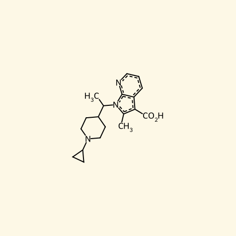 Cc1c(C(=O)O)c2cccnc2n1C(C)C1CCN(C2CC2)CC1